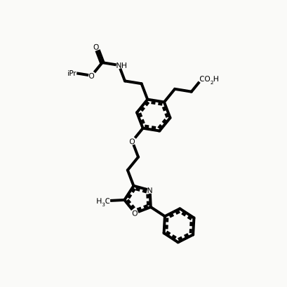 Cc1oc(-c2ccccc2)nc1CCOc1ccc(CCC(=O)O)c(CCNC(=O)OC(C)C)c1